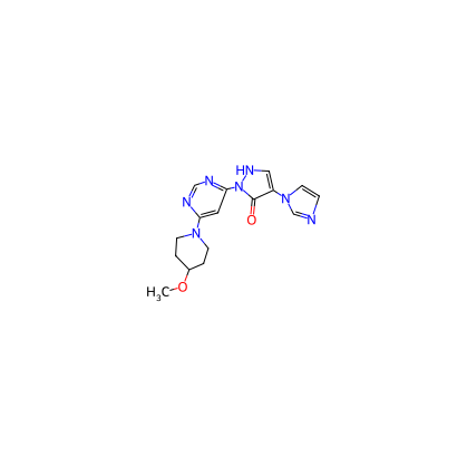 COC1CCN(c2cc(-n3[nH]cc(-n4ccnc4)c3=O)ncn2)CC1